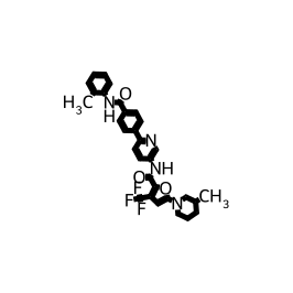 Cc1ccccc1NC(=O)c1ccc(-c2ccc(NC(=O)c3oc(N4CCCC(C)C4)cc3C(F)(F)F)cn2)cc1